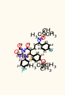 C[Si](C)(C)O/N=C(/CCC(C(=O)N1C(=O)OC[C@@H]1P)C(Nc1ccc(F)cc1)c1ccc(O[Si](C)(C)C)cc1)c1ccc(F)cc1